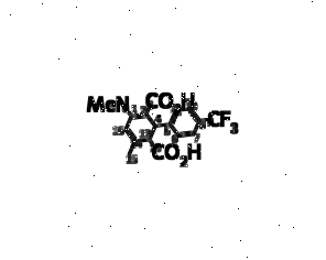 CNC1=C(C(=O)O)C(c2ccc(C(F)(F)F)cc2)C(C(=O)O)C(C)=C1